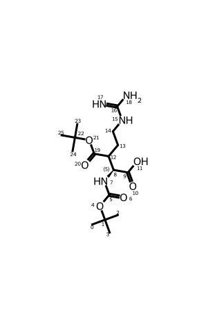 CC(C)(C)OC(=O)N[C@H](C(=O)O)C(CCNC(=N)N)C(=O)OC(C)(C)C